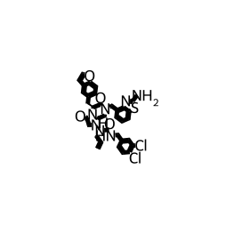 C=CCN(C(=O)NCc1ccc(Cl)c(Cl)c1)N1CC(=O)N2[C@@H](Cc3ccc4occc4c3)C(=O)N(Cc3cccc4sc(N)nc34)C[C@@H]21